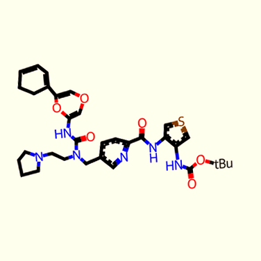 CC(C)(C)OC(=O)Nc1cscc1NC(=O)c1ccc(CN(CCN2CCCC2)C(=O)NC2=COC=C(C3=CC=CCC3)O2)cn1